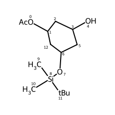 CC(=O)OC1CC(O)CC(O[Si](C)(C)C(C)(C)C)C1